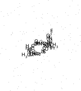 CCn1c(-c2cccnc2[C@H](C)OC)c2c3cc(ccc31)-c1csc(n1)C[C@H](NC(=O)[C@H](C(C)C)N(C)C(=O)N1C[C@H]3[C@@H]1CCN3C(=O)/C=C/CF)C(=O)N1CCC[C@H](N1)C(=O)OCC(C)(C)C2